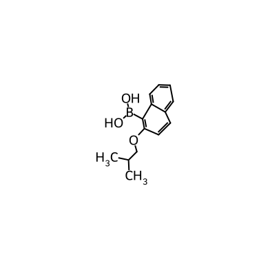 CC(C)COc1ccc2ccccc2c1B(O)O